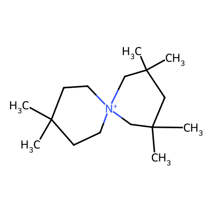 CC1(C)CC[N+]2(CC1)CC(C)(C)CC(C)(C)C2